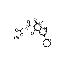 Cn1c(=O)c(C(=O)NCC(=O)OC(C)(C)C)c(O)c2cc(C3CCCCO3)cnc21